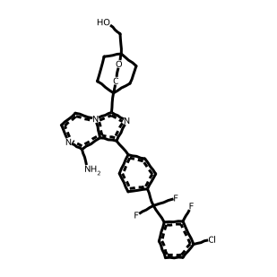 Nc1nccn2c(C34CCC(CO)(CC3)OC4)nc(-c3ccc(C(F)(F)c4cccc(Cl)c4F)cc3)c12